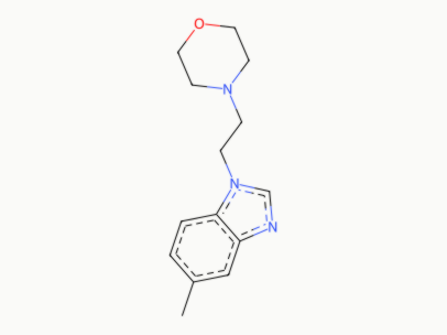 Cc1ccc2c(c1)ncn2CCN1CCOCC1